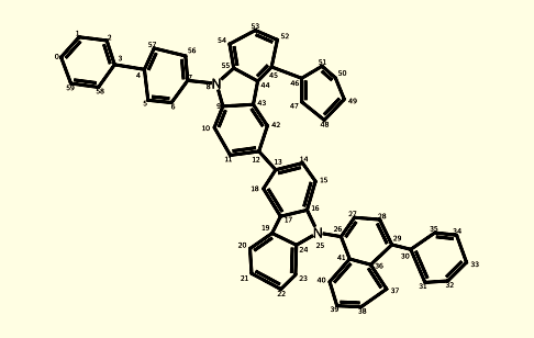 c1ccc(-c2ccc(-n3c4ccc(-c5ccc6c(c5)c5ccccc5n6-c5ccc(-c6ccccc6)c6ccccc56)cc4c4c(-c5ccccc5)cccc43)cc2)cc1